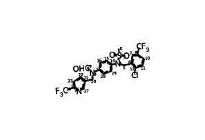 CS(=O)(=O)N(Cc1cc(C(F)(F)F)ccc1Cl)c1ccc(N(C=O)Cc2ccc(C(F)(F)F)nc2)cc1